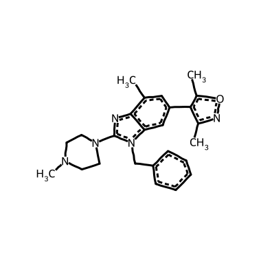 Cc1noc(C)c1-c1cc(C)c2nc(N3CCN(C)CC3)n(Cc3ccccc3)c2c1